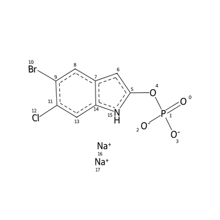 O=P([O-])([O-])Oc1cc2cc(Br)c(Cl)cc2[nH]1.[Na+].[Na+]